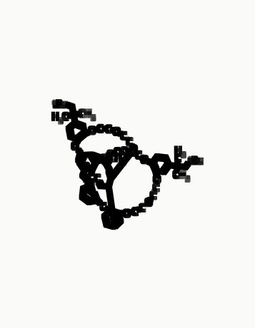 C=CC1/C2=C\C(=C)Cc3cccc4c3OCCOCCOc3ccc(C(C)(C)CC(C)(C)C)cc3OCCOCCOc3cc1ccc3Cc1cccc(c1OCCOCCOc1ccc(C(C)(C)CC(C)(C)C)cc1OCCOCCO2)C4